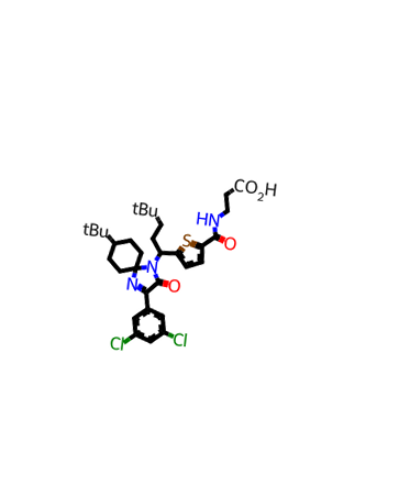 CC(C)(C)CCC(c1ccc(C(=O)NCCC(=O)O)s1)N1C(=O)C(c2cc(Cl)cc(Cl)c2)=NC12CCC(C(C)(C)C)CC2